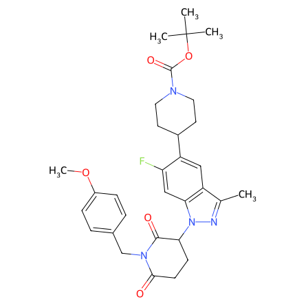 COc1ccc(CN2C(=O)CCC(n3nc(C)c4cc(C5CCN(C(=O)OC(C)(C)C)CC5)c(F)cc43)C2=O)cc1